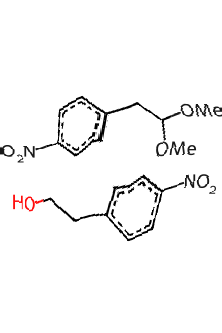 COC(Cc1ccc([N+](=O)[O-])cc1)OC.O=[N+]([O-])c1ccc(CCO)cc1